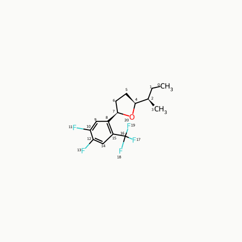 CC[C@@H](C)[C@@H]1CC[C@H](c2cc(F)c(F)cc2C(F)(F)F)O1